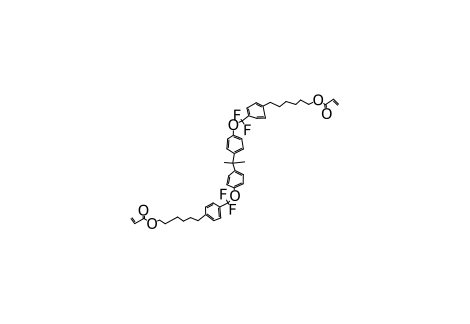 C=CC(=O)OCCCCCCc1ccc(C(F)(F)Oc2ccc(C(C)(C)c3ccc(OC(F)(F)c4ccc(CCCCCCOC(=O)C=C)cc4)cc3)cc2)cc1